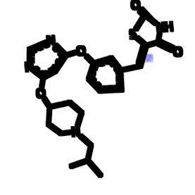 CC(C)CN1CCC(Oc2cc(Oc3cccc(/C=C4\SC(=O)NC4=O)c3)ncn2)CC1